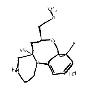 COC[C@@H]1C[C@@H]2CNCCN2c2cccc(F)c2O1.Cl